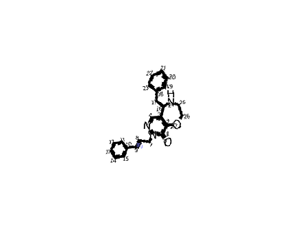 O=c1c2c(cnn1C/C=C/c1ccccc1)C(Cc1ccccc1)NCCO2